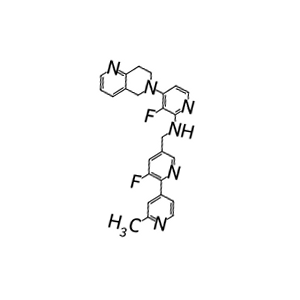 Cc1cc(-c2ncc(CNc3nccc(N4CCc5ncccc5C4)c3F)cc2F)ccn1